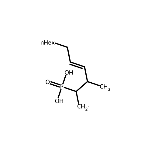 [CH2]C(C(C)C=CCCCCCCC)P(=O)(O)O